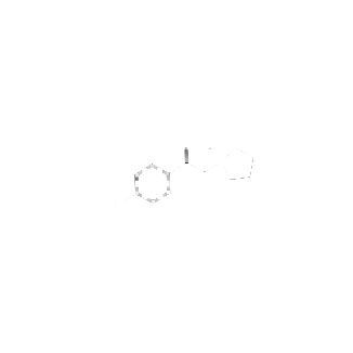 Cc1ccc(C(=O)CS2(I)CCCC2)cc1